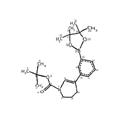 CC(C)(C)OC(=O)N1C=C(c2cccc(B3OC(C)(C)C(C)(C)O3)c2)CCC1